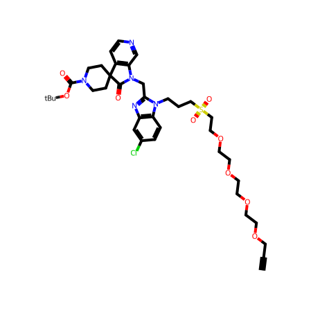 C#CCOCCOCCOCCOCCS(=O)(=O)CCCn1c(CN2C(=O)C3(CCN(C(=O)OC(C)(C)C)CC3)c3ccncc32)nc2cc(Cl)ccc21